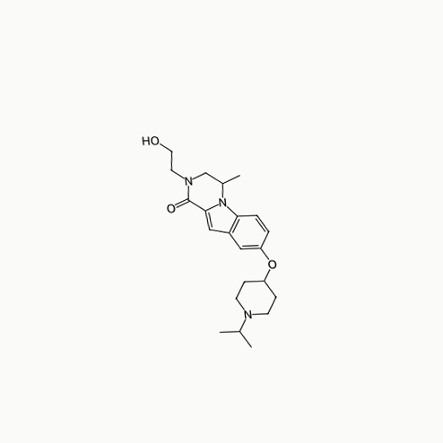 CC(C)N1CCC(Oc2ccc3c(c2)cc2n3C(C)CN(CCO)C2=O)CC1